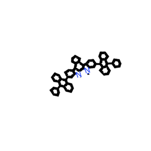 Cn1c2cc(-c3c4ccccc4c(-c4ccccc4)c4ccccc34)ccc2c2c3ccccc3c3c4ccc(-c5c6ccccc6c(-c6ccccc6)c6ccccc56)cc4n(C)c3c21